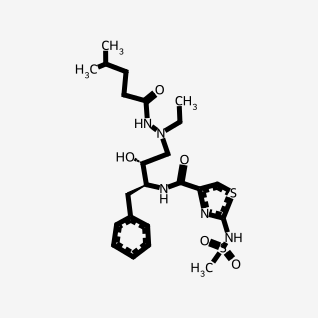 CCN(C[C@@H](O)[C@H](Cc1ccccc1)NC(=O)c1csc(NS(C)(=O)=O)n1)NC(=O)CCC(C)C